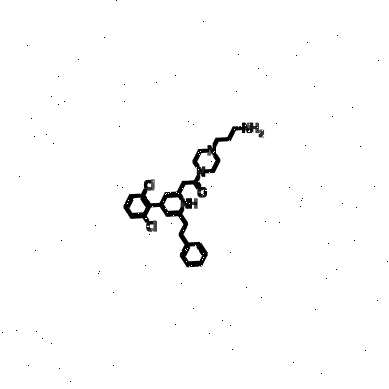 NCCCN1CCN(C(=O)CC2=CC(c3c(Cl)cccc3Cl)C=C(CCc3ccccc3)N2)CC1